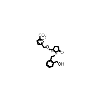 O=C(O)c1ccc(COC[C@H]2CCC(=O)[C@@H]2CCc2ccccc2CO)s1